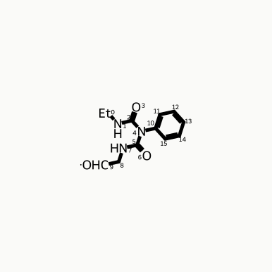 CCNC(=O)N(C(=O)NC[C]=O)c1ccccc1